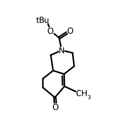 CC1=C2CCN(C(=O)OC(C)(C)C)CC2CCC1=O